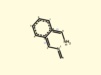 C=N/C=c1/cccc/c1=C/N